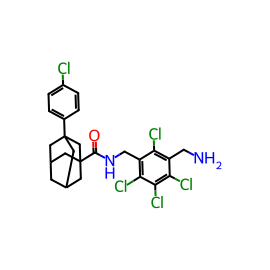 NCc1c(Cl)c(Cl)c(Cl)c(CNC(=O)C23CC4CC(C2)CC(c2ccc(Cl)cc2)(C4)C3)c1Cl